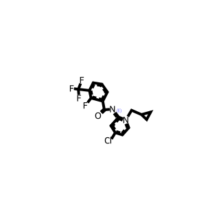 O=C(/N=c1\cc(Cl)ccn1CC1CC1)c1cccc(C(F)(F)F)c1F